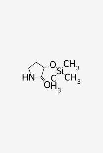 C[Si](C)(C)O[C@H]1CCNC1=O